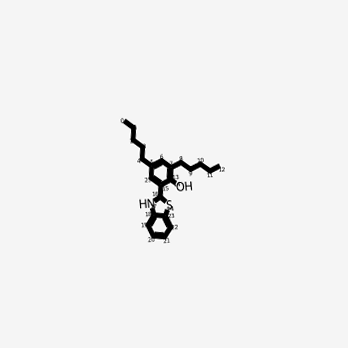 CCCCCc1cc(CCCCC)c(O)c(C2Nc3ccccc3S2)c1